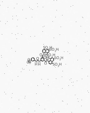 O=C(Nc1cc(C(=O)Nc2ccc(S(=O)(=O)O)c3cc(S(=O)(=O)O)cc(S(=O)(=O)O)c23)cc(C(=O)Nc2ccc(S(=O)(=O)O)c3cc(S(=O)(=O)O)cc(S(=O)(=O)O)c23)c1)Nc1cccc(S(=O)(=O)F)c1